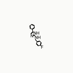 Fc1ccc(CNc2ncc(-c3ccccc3)[nH]2)cc1